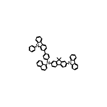 CC1(C)c2cc(N(c3ccc(-c4ccc5c6ccccc6n(-c6ccccc6)c5c4)cc3)c3cccc4ccccc34)ccc2-c2ccc(-n3c4ccccc4c4ccccc43)cc21